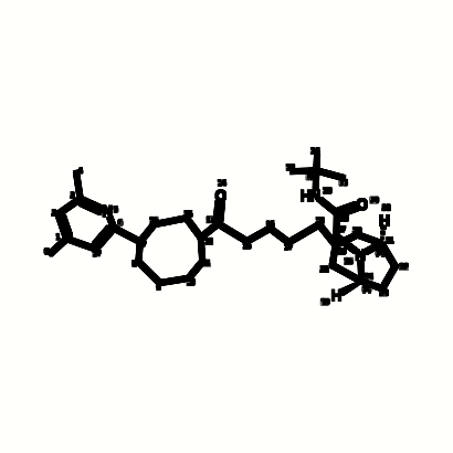 Cc1cc(C)nc(C2CCCCC(C(=O)CCCCC3C[C@H]4CC[C@H](C3)N4CC(=O)NC(C)(C)C)CC2)c1